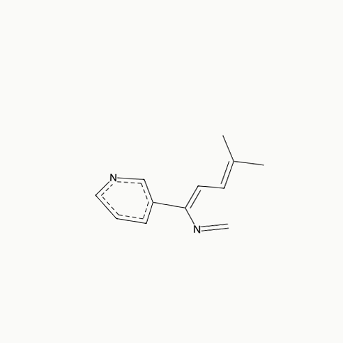 C=N/C(=C\C=C(C)C)c1cccnc1